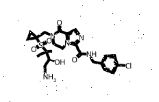 CC(C)([C@@H](O)CN)S(=O)(=O)C1(CN2CCn3c(cnc3C(=O)NCc3ccc(Cl)cc3)C2=O)CC1